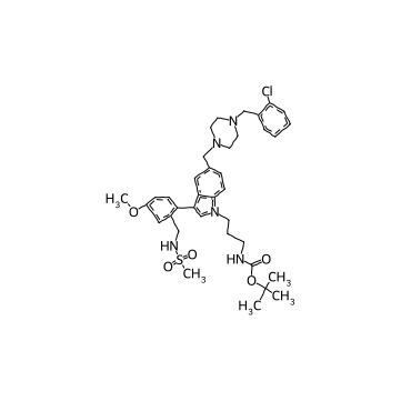 COc1ccc(-c2cn(CCCNC(=O)OC(C)(C)C)c3ccc(CN4CCN(Cc5ccccc5Cl)CC4)cc23)c(CNS(C)(=O)=O)c1